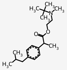 CC(C)Cc1ccc(C(C)C(=O)OCCN(C)C(C)(C)C)cc1